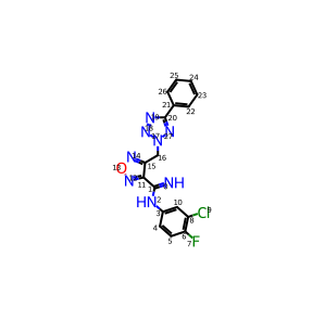 N=C(Nc1ccc(F)c(Cl)c1)c1nonc1Cn1nnc(-c2ccccc2)n1